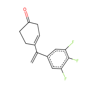 C=C(C1=CCC(=O)CC1)c1cc(F)c(F)c(F)c1